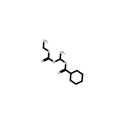 CCSC(=O)OC(C)OC(=O)C1CCCCC1